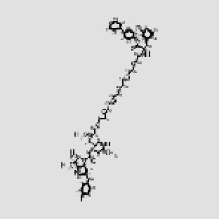 C[C@@H]1CN(CC(=O)N2CC(C)(C)c3ncc(Cc4ccc(F)cc4)cc32)[C@@H](CN(C)CCOCCOCCOCCOCCOCCOCCN[C@H](Cc2cccc(F)c2)C(=O)Nc2ccc(-c3ccncc3)cc2)CN1